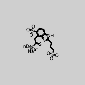 CCCCCCCCCCC(=S)Cc1c(S(=O)(=O)[O-])ccc2[nH]c(CCCS(=O)(=O)[O-])nc12.[Na+].[Na+]